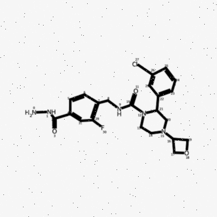 NNC(=O)c1ccc(CNC(=O)N2CCN(C3COC3)CC2c2cccc(Cl)c2)c(F)c1